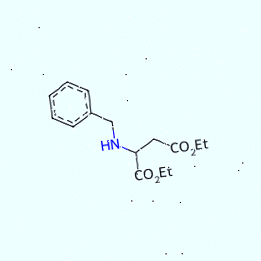 CCOC(=O)CC(NCc1ccccc1)C(=O)OCC